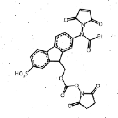 CCC(=O)N(c1ccc2c(c1)C(COC(=O)ON1C(=O)CCC1=O)c1cc(S(=O)(=O)O)ccc1-2)N1C(=O)C=CC1=O